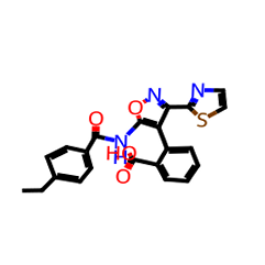 CCc1ccc(C(=O)Nc2onc(-c3nccs3)c2-c2ccccc2C(=O)O)cc1